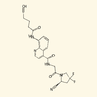 C#CCCCC(=O)Nc1cccc2c(C(=O)NCC(=O)N3CC(F)(F)C[C@H]3C#N)ccnc12